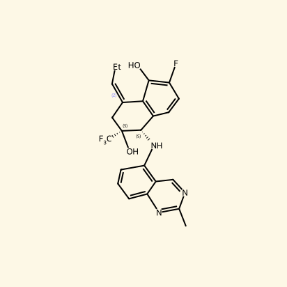 CC/C=C1/C[C@@](O)(C(F)(F)F)[C@@H](Nc2cccc3nc(C)ncc23)c2ccc(F)c(O)c21